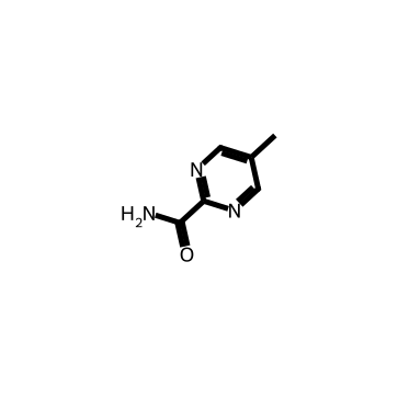 Cc1cnc(C(N)=O)nc1